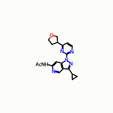 CC(=O)Nc1cc2c(cn1)c(C1CC1)nn2-c1nccc(C2CCOC2)n1